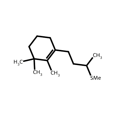 CSC(C)CCC1=C(C)C(C)(C)CCC1